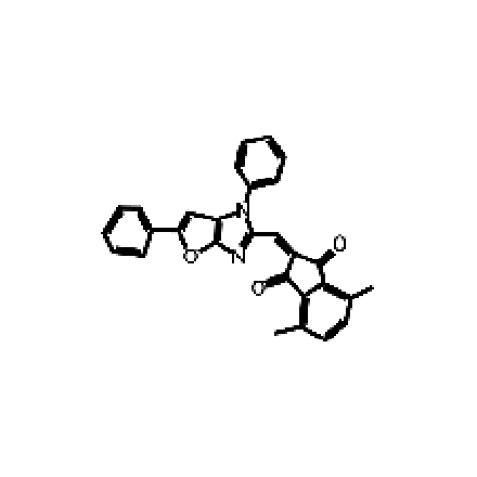 Cc1ccc(C)c2c1C(=O)C(=Cc1nc3oc(-c4ccccc4)cc3n1-c1ccccc1)C2=O